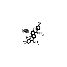 COC1CCC(C(N)c2ccc3c(C(N)C4CCC(OC)CC4)c(O)ccc3c2O)CC1.Cl.Cl